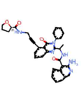 CC(NC(=O)c1c(N)ncc2ccccc12)c1nc2cccc(C#CCNC(=O)[C@H]3CCCO3)c2c(=O)n1-c1ccccc1